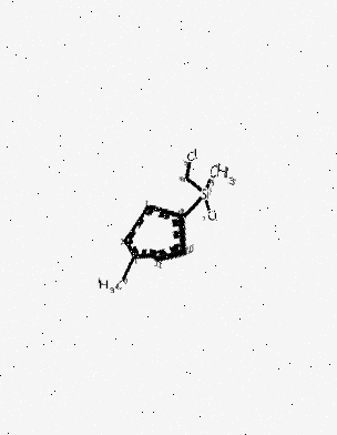 Cc1ccc([Si](C)(Cl)CCl)cc1